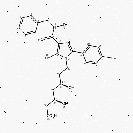 CCN(Cc1ccccc1)C(=O)c1nc(-c2ccc(F)cc2)n(CC[C@@H](O)C[C@@H](O)CC(=O)O)c1C(C)C